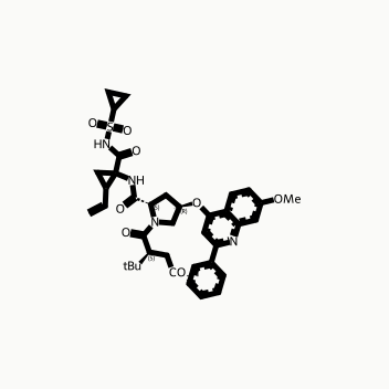 C=CC1CC1(NC(=O)[C@@H]1C[C@@H](Oc2cc(-c3ccccc3)nc3cc(OC)ccc23)CN1C(=O)[C@@H](CC(=O)O)C(C)(C)C)C(=O)NS(=O)(=O)C1CC1